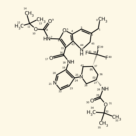 CCC1=Cc2oc(NC(=O)OC(C)(C)C)c(C(=O)Nc3cnccc3N3C[C@@H](NC(=O)OC(C)(C)C)C[C@@H](C(F)(F)F)C3)c2NC1